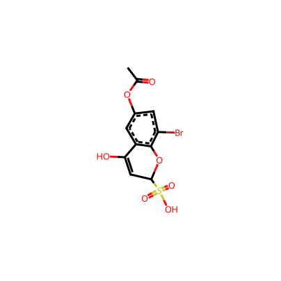 CC(=O)Oc1cc(Br)c2c(c1)C(O)=CC(S(=O)(=O)O)O2